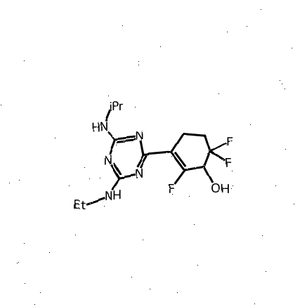 CCNc1nc(NC(C)C)nc(C2=C(F)C(O)C(F)(F)CC2)n1